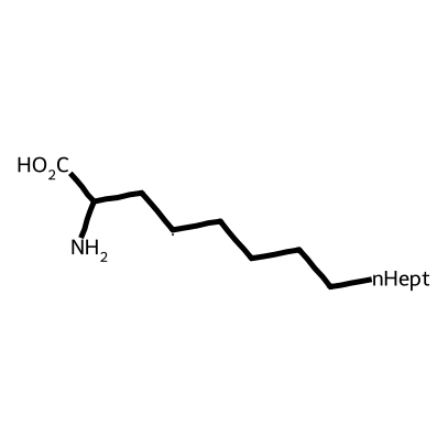 CCCCCCCCCCC[CH]CC(N)C(=O)O